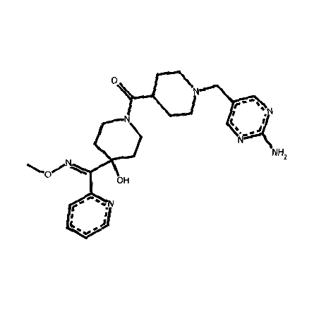 CON=C(c1ccccn1)C1(O)CCN(C(=O)C2CCN(Cc3cnc(N)nc3)CC2)CC1